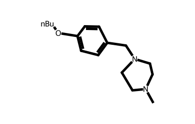 CCCCOc1ccc(CN2CCN(C)CC2)cc1